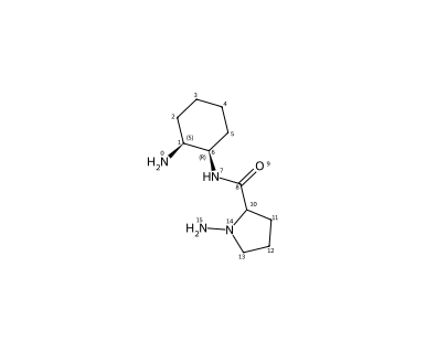 N[C@H]1CCCC[C@H]1NC(=O)C1CCCN1N